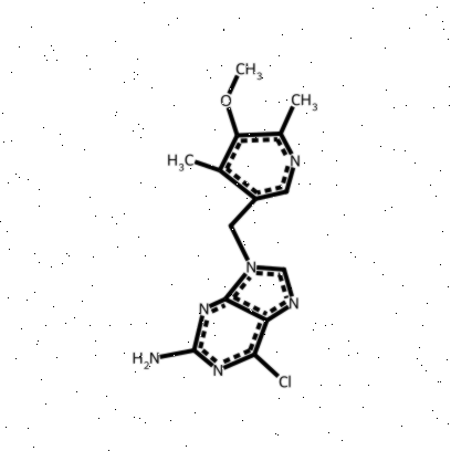 COc1c(C)ncc(Cn2cnc3c(Cl)nc(N)nc32)c1C